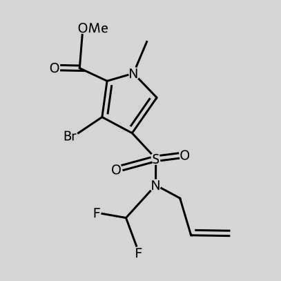 C=CCN(C(F)F)S(=O)(=O)c1cn(C)c(C(=O)OC)c1Br